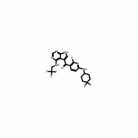 O=C(c1ccc(NC2CCC(F)(F)CC2)nc1F)c1c[nH]c2ncnc(NCC(F)(F)F)c12